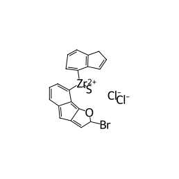 [Cl-].[Cl-].[S]=[Zr+2]([c]1cccc2c1C=CC2)[c]1cccc2c1=C1OC(Br)C=C1C=2